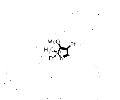 CCC1=C(OC)[N+](C)(CC)N=[C]1